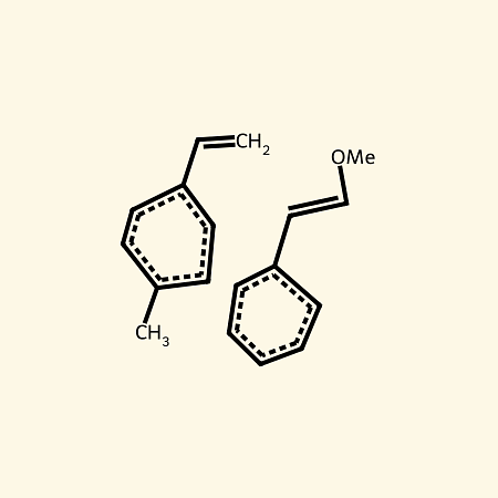 C=Cc1ccc(C)cc1.COC=Cc1ccccc1